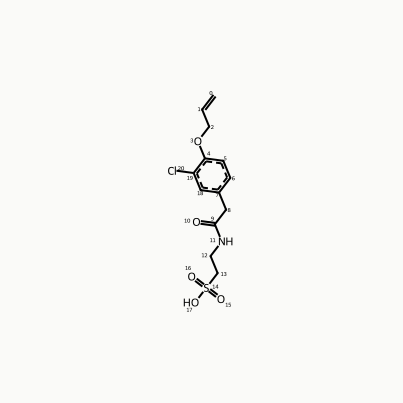 C=CCOc1ccc(CC(=O)NCCS(=O)(=O)O)cc1Cl